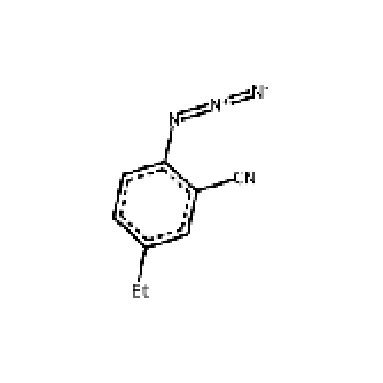 CCc1ccc(N=[N+]=[N-])c(C#N)c1